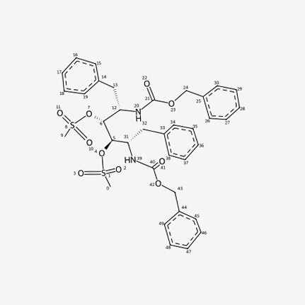 CS(=O)(=O)O[C@@H]([C@H](OS(C)(=O)=O)[C@H](Cc1ccccc1)NC(=O)OCc1ccccc1)[C@H](Cc1ccccc1)NC(=O)OCc1ccccc1